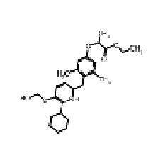 CCOC(=O)C(C)Oc1cc(C)c(CC2C=CC(OCO)=C(C3CCCCC3)N2)c(C)c1